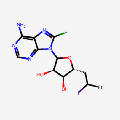 CCC(I)C[C@H]1OC(n2c(F)nc3c(N)ncnc32)[C@H](O)[C@@H]1O